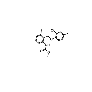 COC(=O)Nc1cccc(I)c1COc1ccc(C)cc1Cl